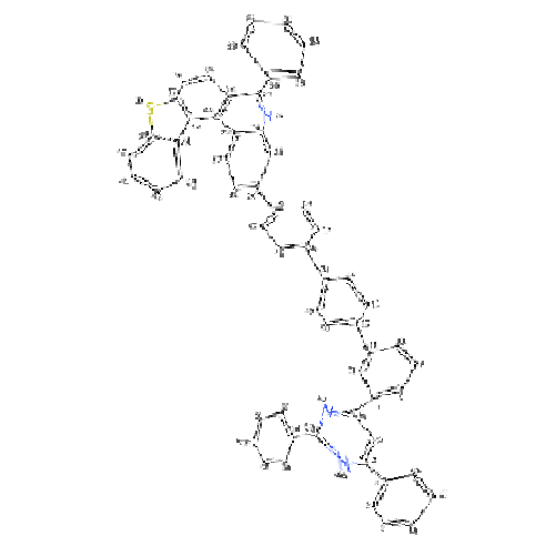 c1ccc(-c2cc(-c3cccc(-c4ccc(-c5ccc(-c6ccc7c(c6)nc(-c6ccccc6)c6ccc8sc9ccccc9c8c67)cc5)cc4)c3)nc(-c3ccccc3)n2)cc1